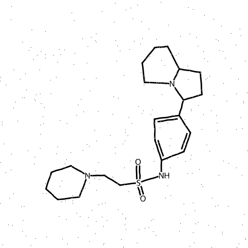 O=S(=O)(CCN1CCCCC1)Nc1ccc(C2CCC3CCCCN32)cc1